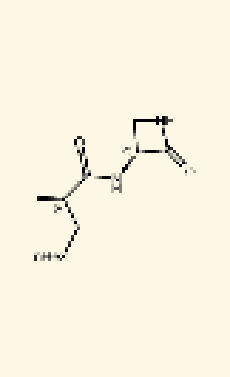 CCCCCCC[C@@H](C)C(=O)N[C@H]1CNC1=O